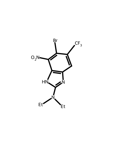 CCN(CC)c1nc2cc(C(F)(F)F)c(Br)c([N+](=O)[O-])c2[nH]1